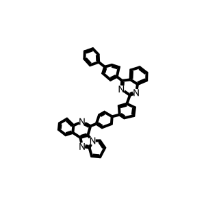 C1=CC(c2cccc(-c3nc(-c4ccc(-c5ccccc5)cc4)c4ccccc4n3)c2)CC=C1c1nc2ccccc2c2nc3ccccn3c12